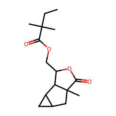 CCC(C)(C)C(=O)OCC1OC(=O)C2(C)CC3CC3C12